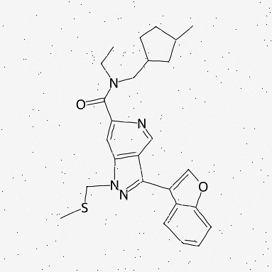 CCN(CC1CCC(C)C1)C(=O)c1cc2c(cn1)c(-c1coc3ccccc13)nn2CSC